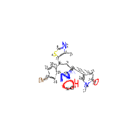 Cc1ncsc1C(C/C(=N/O)c1ccc(=O)n(C)c1)c1ccc(Br)cc1